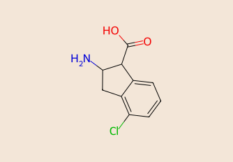 NC1Cc2c(Cl)cccc2C1C(=O)O